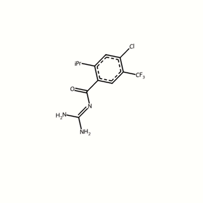 CC(C)c1cc(Cl)c(C(F)(F)F)cc1C(=O)N=C(N)N